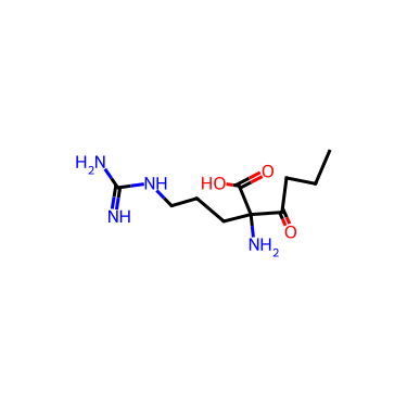 CCCC(=O)C(N)(CCCNC(=N)N)C(=O)O